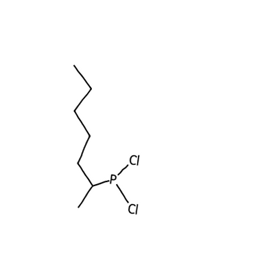 CCCCCC(C)P(Cl)Cl